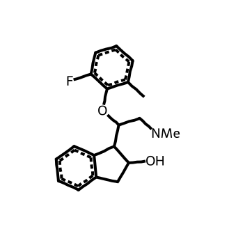 CNCC(Oc1c(C)cccc1F)C1c2ccccc2CC1O